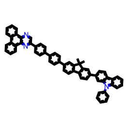 CC1(C)c2cc(-c3ccc(-c4ccc(-c5cnc6c7ccccc7c7ccccc7c6n5)cc4)cc3)ccc2-c2ccc(-c3ccc4c5ccccc5n(-c5ccccc5)c4c3)cc21